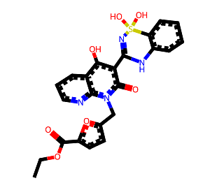 CCOC(=O)c1ccc(Cn2c(=O)c(C3=NS(O)(O)c4ccccc4N3)c(O)c3cccnc32)o1